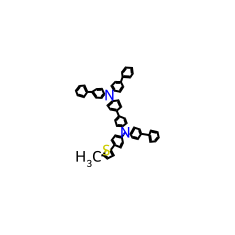 Cc1ccc(-c2ccc(N(c3ccc(-c4ccccc4)cc3)c3ccc(-c4ccc(N(c5ccc(-c6ccccc6)cc5)c5ccc(-c6ccccc6)cc5)cc4)cc3)cc2)s1